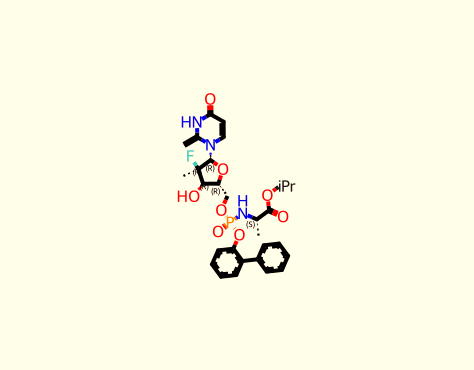 C=C1NC(=O)C=CN1[C@@H]1O[C@H](COP(=O)(N[C@@H](C)C(=O)OC(C)C)Oc2ccccc2-c2ccccc2)[C@@H](O)[C@@]1(C)F